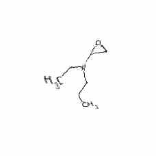 CCCN(CC)C1CO1